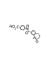 CN1C(=O)CCCc2ccc(C(=O)Nc3ccc(C(=O)O)cc3)cc21